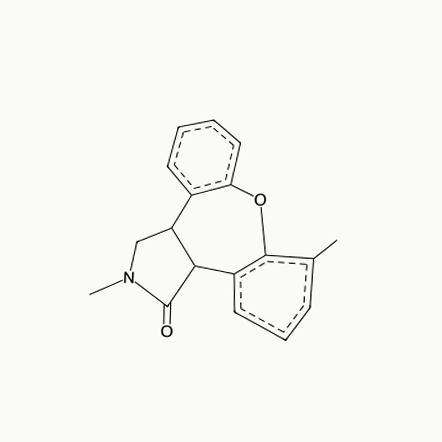 Cc1cccc2c1Oc1ccccc1C1CN(C)C(=O)C21